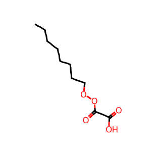 CCCCCCCCOOC(=O)C(=O)O